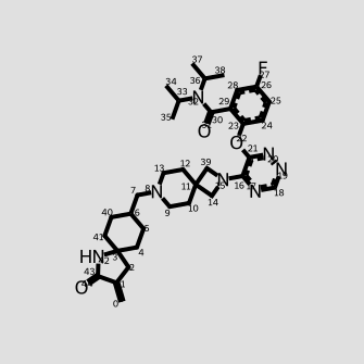 C=C1CC2(CCC(CN3CCC4(CC3)CN(c3ncnnc3Oc3ccc(F)cc3C(=O)N(C(C)C)C(C)C)C4)CC2)NC1=O